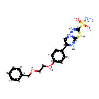 NS(=O)(=O)c1nn2cc(-c3ccc(OCCOCc4ccccc4)cc3)nc2s1